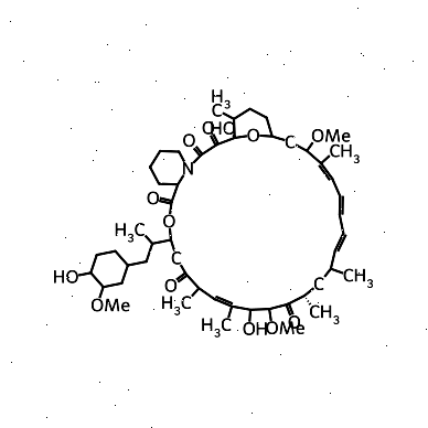 COC1CC2CCC(C)C(O)(O2)C(=O)C(=O)N2CCCCC2C(=O)OC(C(C)CC2CCC(O)C(OC)C2)CC(=O)C(C)/C=C(/C)C(O)C(OC)C(=O)[C@@H](C)CC(C)/C=C/C=C/C=C\1C